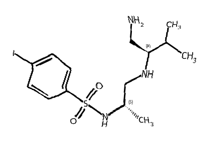 CC(C)[C@H](CN)NC[C@H](C)NS(=O)(=O)c1ccc(I)cc1